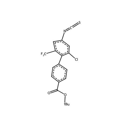 CC(C)(C)OC(=O)c1ccc(-c2c(Cl)cc(N=C=S)cc2C(F)(F)F)cc1